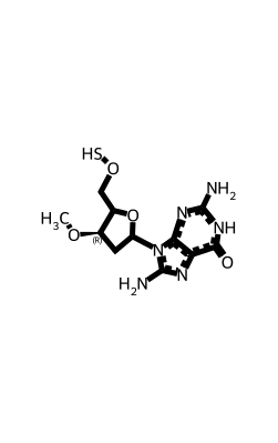 CO[C@@H]1CC(n2c(N)nc3c(=O)[nH]c(N)nc32)OC1COS